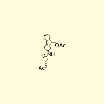 CC(=O)OCC1c2ccccc2-c2ccc(NC(=O)CCSC(C)=O)cc21